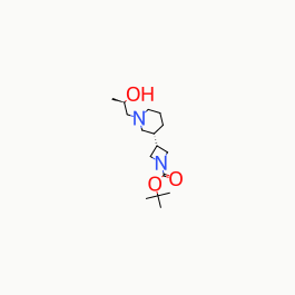 C[C@@H](O)CN1CCC[C@H](C2CN(C(=O)OC(C)(C)C)C2)C1